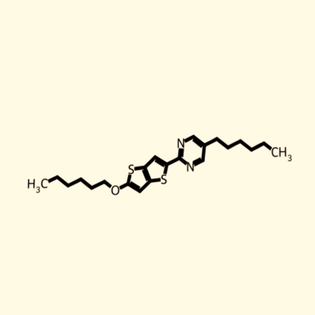 CCCCCCOc1cc2sc(-c3ncc(CCCCCC)cn3)cc2s1